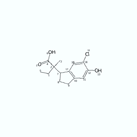 CCC(C)(C(=O)O)C1CCc2cc(O)c(Cl)cc21